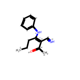 CCC/C(Nc1ccccc1)=C(/C=N)C(C)=O